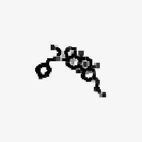 CCOC[C@H]1CC[C@@]2(C)[C@H](CC[C@@H]3[C@@H]2CC[C@]2(C)[C@@H](C(CC)NCc4ccccc4)CC[C@@H]32)C1